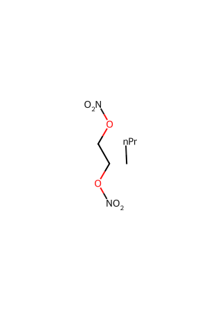 CCCC.O=[N+]([O-])OCCO[N+](=O)[O-]